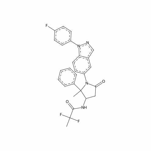 CC(F)(F)C(=O)NC1CC(=O)N(c2ccc3c(cnn3-c3ccc(F)cc3)c2)C1(C)c1ccccc1